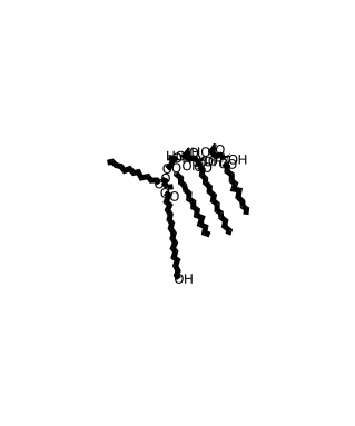 CCCCCCCCCCCC(=O)O[C@H](CO)[C@H]1OC[C@H](O)[C@H]1O.CCCCCCCCCCCCCCCC(=O)O[C@H](CO)[C@H]1OC[C@H](O)[C@H]1O.CCCCCCCCCCCCCCCCOC(=O)C(C)O.CCCCCCCCCCCCOC(=O)C(C)OC(=O)CCCCCCCCCCCCCCCCCO